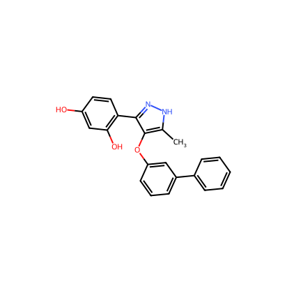 Cc1[nH]nc(-c2ccc(O)cc2O)c1Oc1cccc(-c2ccccc2)c1